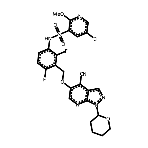 COc1ncc(Cl)cc1S(=O)(=O)Nc1ccc(F)c(COc2cnc3c(cnn3C3CCCCO3)c2C#N)c1F